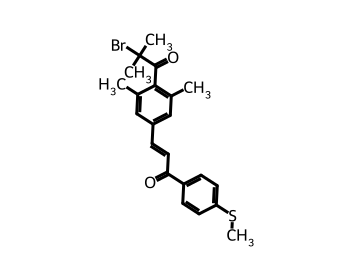 CSc1ccc(C(=O)/C=C/c2cc(C)c(C(=O)C(C)(C)Br)c(C)c2)cc1